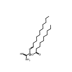 CCCCCCCCCC(=O)O.CCCCCCCCCC/C=N/NC(=N)N